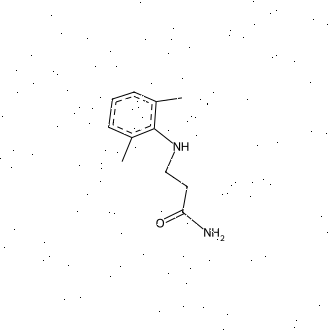 Cc1cccc(C)c1NCCC(N)=O